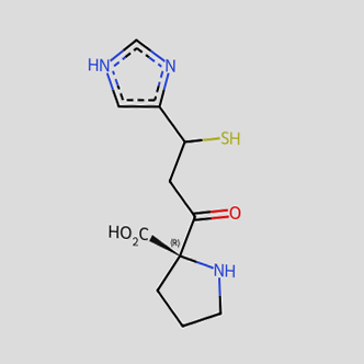 O=C(O)[C@]1(C(=O)CC(S)c2c[nH]cn2)CCCN1